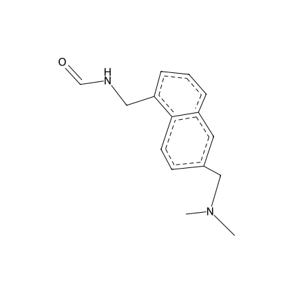 CN(C)Cc1ccc2c(CNC=O)cccc2c1